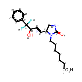 O=C(O)CCCCCCN1C(=O)NC[C@@H]1/C=C/C(O)C(F)(F)c1ccccc1